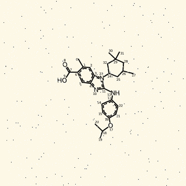 Cc1cc2c(cc1C(=O)O)nc(Nc1ccc(OC(C)C)cc1)n2C1CC(C)CC(C)(C)C1